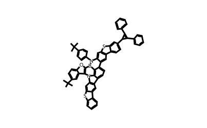 CC(C)(C)c1ccc(N2B3c4oc5ccc(C(C)(C)C)cc5c4-n4c5cc6sc7ccccc7c6cc5c5ccc(c3c54)-c3cc4c(cc32)sc2cc(C3C(c5ccccc5)=C3c3ccccc3)ccc24)cc1